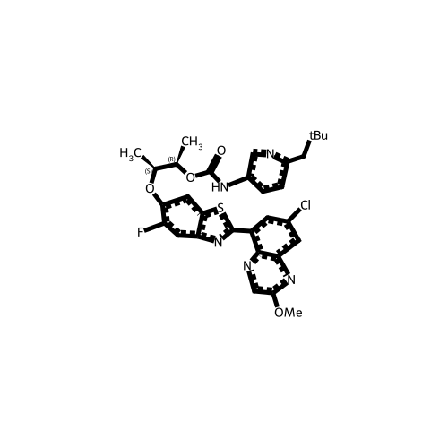 COc1cnc2c(-c3nc4cc(F)c(O[C@@H](C)[C@@H](C)OC(=O)Nc5ccc(CC(C)(C)C)nc5)cc4s3)cc(Cl)cc2n1